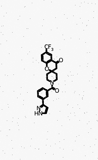 O=C1CC2(CCN(C(=O)c3cccc(-c4cc[nH]n4)c3)CC2)Oc2ccc(C(F)(F)F)cc21